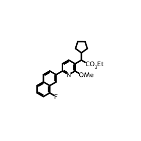 CCOC(=O)C(c1ccc(-c2ccc3cccc(F)c3c2)nc1OC)C1CCCC1